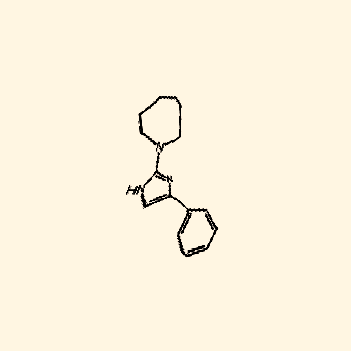 c1ccc(-c2c[nH]c(N3CCCCC3)n2)cc1